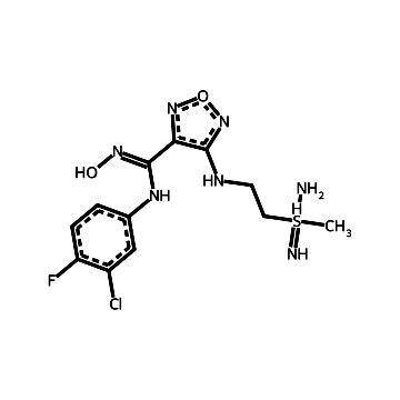 C[SH](=N)(N)CCNc1nonc1/C(=N/O)Nc1ccc(F)c(Cl)c1